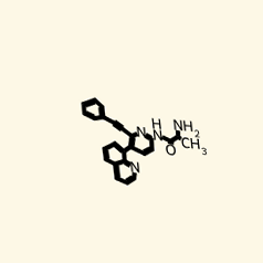 CC(N)C(=O)Nc1ccc(-c2cccc3cccnc23)c(C#Cc2ccccc2)n1